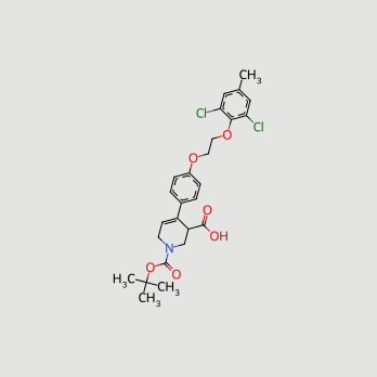 Cc1cc(Cl)c(OCCOc2ccc(C3=CCN(C(=O)OC(C)(C)C)CC3C(=O)O)cc2)c(Cl)c1